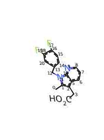 Cc1c(CC(=O)O)c2cccnc2n1Cc1ccc(F)c(F)c1